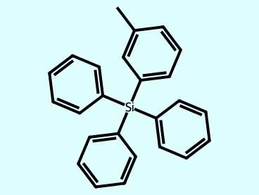 Cc1cccc([Si](c2ccccc2)(c2ccccc2)c2ccccc2)c1